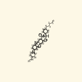 CCCCCc1ccc(NC(=O)c2cc3nc4ccc(N5CCC(CC)CC5)cc4oc-3cc2=O)cc1